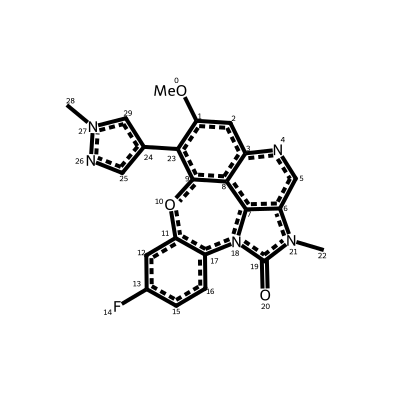 COc1cc2ncc3c4c2c(oc2cc(F)ccc2n4c(=O)n3C)c1-c1cnn(C)c1